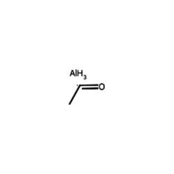 C[C]=O.[AlH3]